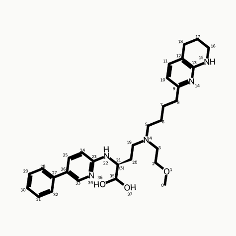 COCCN(CCCCc1ccc2c(n1)NCCC2)CC[C@H](Nc1ccc(-c2ccccc2)cn1)C(O)O